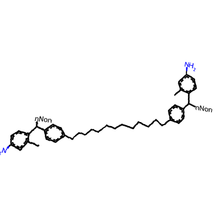 CCCCCCCCCC(c1ccc(CCCCCCCCCCCCCc2ccc(C(CCCCCCCCC)c3ccc(N)cc3C)cc2)cc1)c1ccc(N)cc1C